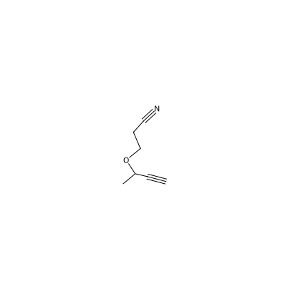 C#CC(C)OCCC#N